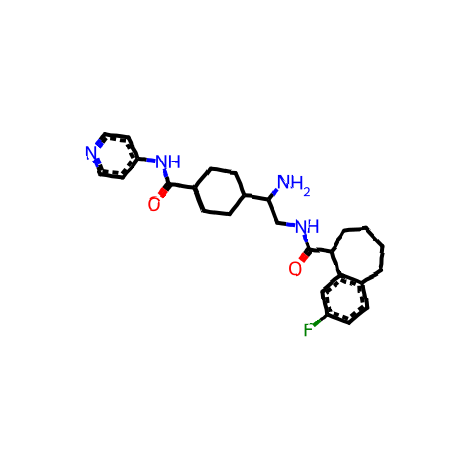 NC(CNC(=O)C1CCCCc2ccc(F)cc21)C1CCC(C(=O)Nc2ccncc2)CC1